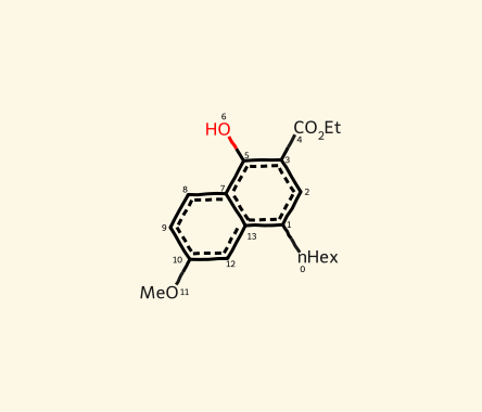 CCCCCCc1cc(C(=O)OCC)c(O)c2ccc(OC)cc12